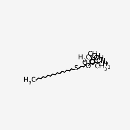 CCCCCCCCCCCCCCCCCCSCCCC(=O)Oc1cc(C(C)(C)C)c(O)c(C(C)(C)C)c1